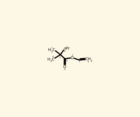 C=COC(=O)C(C)(C)CCC